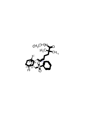 CN(O)C(=O)C(C)(C)CC/C=C\C[C@@H]1[C@H](CS(=O)(=O)c2ccccc2)[C@@H]2CC[C@H]1O2